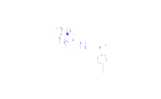 O=C(c1ccc(F)cc1)C1CCN(CCn2c(=O)nc3sccn3c2=O)CC1